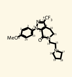 COc1ccc(-n2nc(C(F)(F)F)c3c2C(=O)N(CCN2CCCC2)CC3)cc1